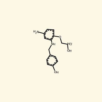 Cl.Nc1ccc(OCCO)c(NCc2ccc(O)cc2)c1